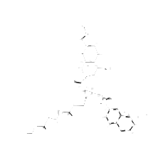 CCOC(=O)CCNC(=O)CCC1[C@H](NS(=O)(=O)c2ccc3ccccc3c2)[C@H]1C(=O)N(CCO)C[C@@H]1CCCN(C=NN)C1.Cl